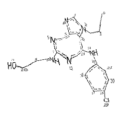 CCn1cnc2nc(NCCO)nc(Nc3ccc(Cl)cc3)c21